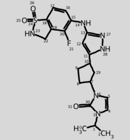 CC(C)n1ccn(C2CCC(c3cc(Nc4ccc5c(c4F)CNS5(=O)=O)n[nH]3)C2)c1=O